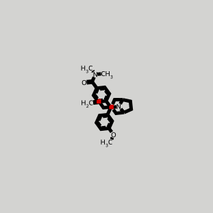 C=CCN1CC2CCC(C1)N2C(c1ccc(C(=O)N(C)C)cc1)c1cccc(OC)c1